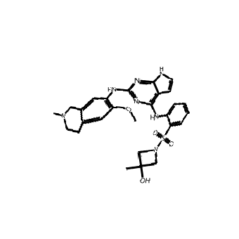 COc1cc2c(cc1Nc1nc(Nc3ccccc3S(=O)(=O)N3CC(C)(O)C3)c3cc[nH]c3n1)CN(C)CC2